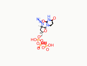 C[C@@]1(N=[N+]=[N-])C[C@@H](COP(=O)(O)OP(=O)(O)OP(=O)(O)O)O[C@H]1n1ccc(=O)[nH]c1=O